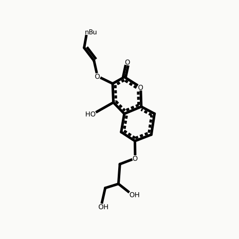 CCCCC=COc1c(O)c2cc(OCC(O)CO)ccc2oc1=O